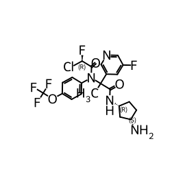 CC(C(=O)N[C@@H]1CC[C@H](N)C1)(c1cncc(F)c1)N(C(=O)[C@H](F)Cl)c1ccc(OC(F)(F)F)cc1